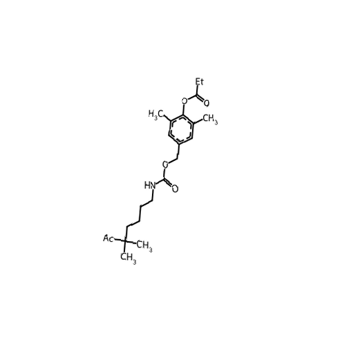 CCC(=O)Oc1c(C)cc(COC(=O)NCCCCC(C)(C)C(C)=O)cc1C